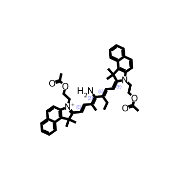 CCC(=C\C=C1\N(CCOC(C)=O)c2ccc3ccccc3c2C1(C)C)/C(N)=C(C)/C=C/C1=[N+](CCOC(C)=O)c2ccc3ccccc3c2C1(C)C